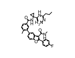 C=C(N/C(CCC)=N\N)C1(NC(=O)c2ccc(C)c(-c3ccc4oc(-c5ccc(F)cc5)c(C(=O)NC)c4c3)c2)CC1